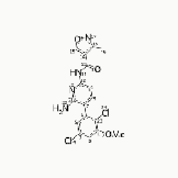 COc1cc(Cl)cc(-c2ccc(NC(=O)c3conc3C)nc2N)c1Cl